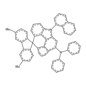 CC(C)(C)c1ccc2c(c1)-c1cc(C(C)(C)C)ccc1C21c2cccc3c(N(c4ccccc4)c4ccccc4)cc4c(c23)c2c1cccc2n4-c1cccc2ccccc12